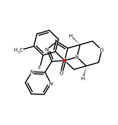 Cc1cccc(C(=O)N2[C@H]3COC[C@@H]2c2nnc(-c4ncccn4)n2C3)c1F